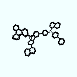 c1ccc(-c2ccc(N(c3ccc(-c4ccc5c(c4)c4cc(-c6cccc7ccccc67)ccc4n5-c4ccc5c6ccccc6c6ccccc6c5c4)cc3)c3cccc4ccccc34)cc2)cc1